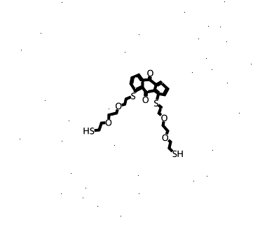 O=C1c2cccc(SCCOCCOCCS)c2C(=O)c2c(SCCOCCOCCS)cccc21